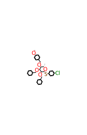 COc1ccc(CO[C@H]2[C@@H](OCc3ccccc3)[C@H](OCc3ccccc3)[C@@H](Sc3ccc(Cl)cc3)O[C@H]2C)cc1